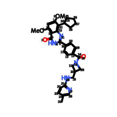 COc1cc(OC)c2c(=O)[nH]c(-c3ccc(C(=O)N4CC(CNc5ccc(C)cn5)C4)cc3)nc2c1C1CCCC1